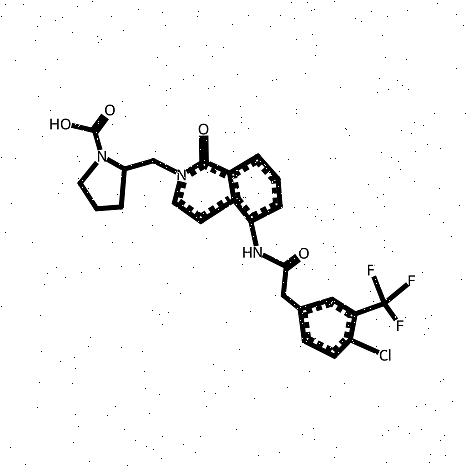 O=C(Cc1ccc(Cl)c(C(F)(F)F)c1)Nc1cccc2c(=O)n(CC3CCCN3C(=O)O)ccc12